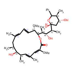 CO/C1=C\C(C)=C\[C@@H](C)[C@@H](O)[C@@H](C)C/C(C)=C/C=C/[C@H](OC)[C@@H]([C@@H](C)[C@@H](O)[C@H](C)[C@@]2(O)C[C@@H](O)[C@H](C)C(C(C)C)O2)OC1=O